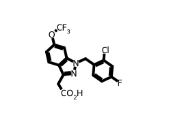 O=C(O)Cc1nn(Cc2ccc(F)cc2Cl)c2cc(OC(F)(F)F)ccc12